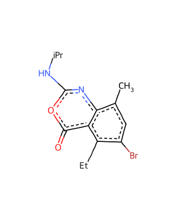 CCc1c(Br)cc(C)c2nc(NC(C)C)oc(=O)c12